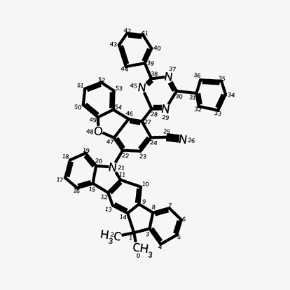 CC1(C)c2ccccc2-c2cc3c(cc21)c1ccccc1n3-c1cc(C#N)c(-c2nc(-c3ccccc3)nc(-c3ccccc3)n2)c2c1oc1ccccc12